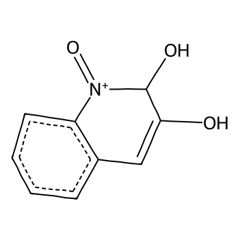 O=[N+]1c2ccccc2C=C(O)C1O